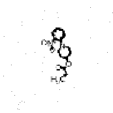 C=CC(=O)OC1CCN(c2ccccc2[N+](=O)[O-])CC1